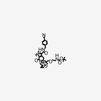 Cn1nc(C(=O)NCc2ccc(C#N)cc2)c2c1C(=O)N(CC1(S(=O)(=O)C(C)(C)COCCNC(=O)OC(C)(C)C)CC1)CC2